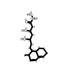 CC1C=CC2=CCCCC2C1CCC(O)CC(O)CC(=O)NO